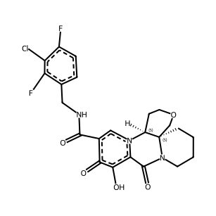 O=C(NCc1ccc(F)c(Cl)c1F)c1cn2c(c(O)c1=O)C(=O)N1CCCC[C@]13COCC[C@H]23